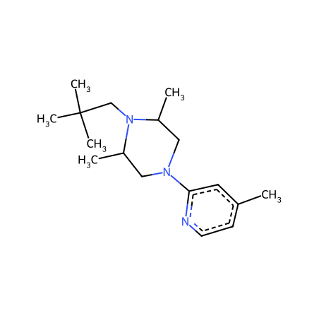 Cc1ccnc(N2CC(C)N(CC(C)(C)C)C(C)C2)c1